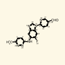 Cc1ccc(Nc2cc3ncn(-c4ccc(C=O)cn4)c3cc2F)nn1